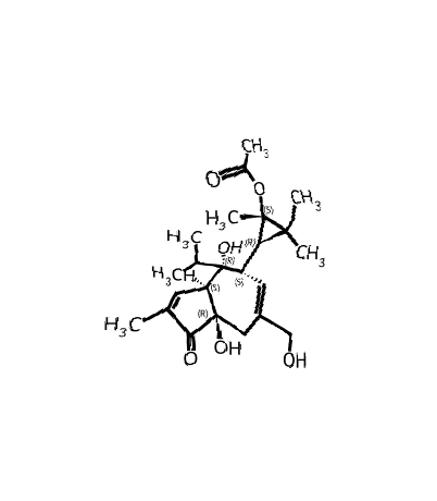 CC(=O)O[C@@]1(C)[C@H]([C@@H]2C=C(CO)C[C@]3(O)C(=O)C(C)=C[C@H]3[C@@]2(O)C(C)C)C1(C)C